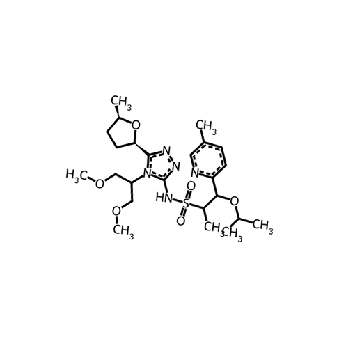 COCC(COC)n1c(NS(=O)(=O)C(C)C(OC(C)C)c2ccc(C)cn2)nnc1[C@H]1CC[C@@H](C)O1